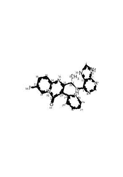 C[C@H](Nc1ncnc2[nH]cnc12)c1nc2ccc(F)cn2c(=O)c1-c1ccccn1